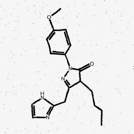 CCCCC1C(=O)N(c2ccc(OC)cc2)N=C1Cc1ncc[nH]1